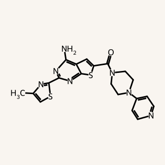 Cc1csc(-c2nc(N)c3cc(C(=O)N4CCN(c5ccncc5)CC4)sc3n2)n1